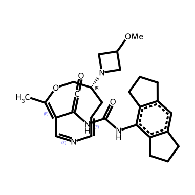 COC1CN([C@@H]2C/C=C/N=C\C(C(=C=O)NC(=O)Nc3c4c(cc5c3CCC5)CCC4)=C(/C)OC2)C1